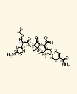 C[N+]1(CC2=C(C(=O)[O-])N3C(=O)[C@@H](NC(=O)/C(=N\OCF)c4nsc(N)n4)[C@@H]3SC2)CC=C(C(N)=O)CC1